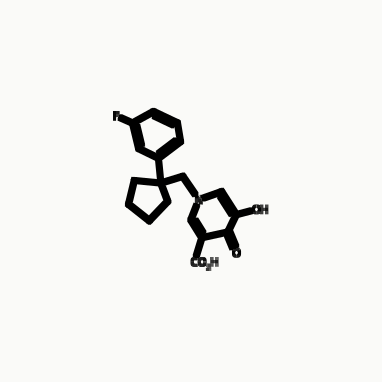 O=C(O)c1cn(CC2(c3cccc(F)c3)CCCC2)cc(O)c1=O